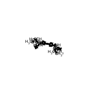 COC(=O)N[C@H](C(=O)N1C[C@]2(CCCO2)C[C@H]1c1nc2cc(C#Cc3ccc(-c4c[nH]c([C@@H]5CC6(CC6)CN5C(=O)[C@@H](C)C(C)C)n4)cc3)ccc2[nH]1)C(C)C